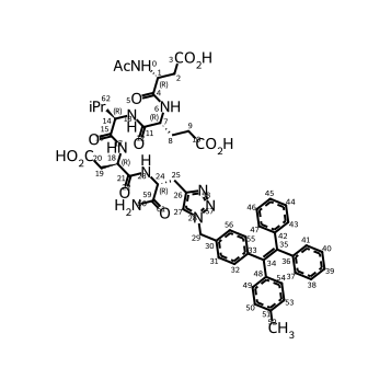 CC(=O)N[C@H](CC(=O)O)C(=O)N[C@H](CCC(=O)O)C(=O)N[C@@H](C(=O)N[C@H](CC(=O)O)C(=O)N[C@H](Cc1cn(Cc2ccc(C(=C(c3ccccc3)c3ccccc3)c3ccc(C)cc3)cc2)nn1)C(N)=O)C(C)C